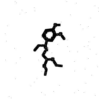 CCOC(CN=C(CC)c1ccc(OC)c(OC)c1)OCC